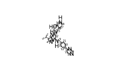 CC(C)c1cnn2c(NCc3ccc(-c4ccncn4)cc3)cc(NC[C@H]3CCNC[C@@H]3O)nc12